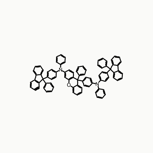 c1ccc2c(c#1)C(c1ccccc1)(c1ccc(N(c3ccccc3)c3ccc4c(c3)Oc3ccccc3C4(c3ccccc3)c3ccc(N(c4ccccc4)c4ccc(C5(c6ccccc6)c6ccccc6-c6ccccc65)cc4)cc3)cc1)c1ccccc1-2